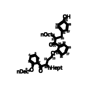 CCCCCCCCCCOc1ccccc1C(=O)C(CCCCCCC)CCOc1ccccc1C(=O)C(CCCCCCCC)Cc1ccc(O)cc1